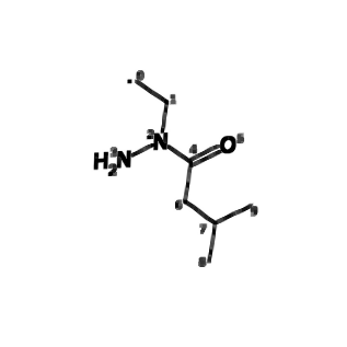 [CH2]CN(N)C(=O)CC(C)C